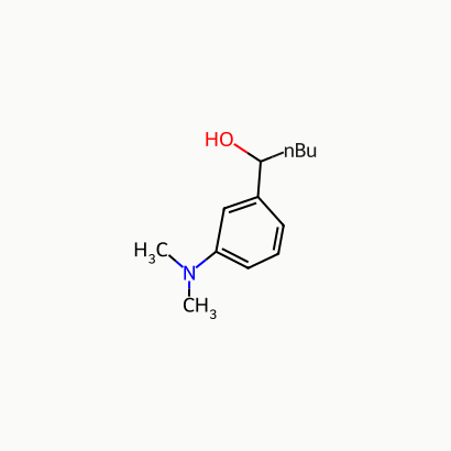 CCCCC(O)c1cccc(N(C)C)c1